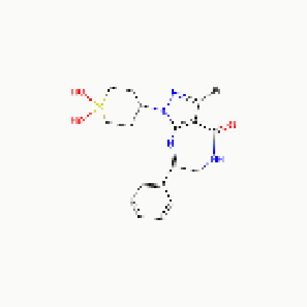 CCc1nn(C2CCS(O)(O)CC2)c2c1C(=O)NCC(c1ccccc1)=N2